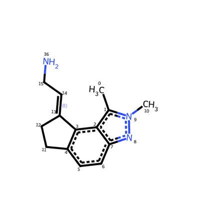 Cc1c2c3c(ccc2nn1C)CC/C3=C\CN